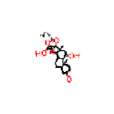 CCC[C@@H]1O[C@H]2CC3C4CCC5=CC(=O)C=CC5(C)C4[C@@H](O)CC3(C)[C@]2(C(=O)CO)O1